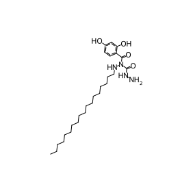 CCCCCCCCCCCCCCCCCCNN(C(=O)NN)C(=O)c1ccc(O)cc1O